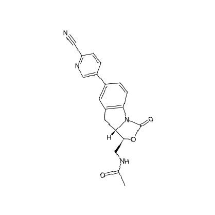 CC(=O)NC[C@@H]1OC(=O)N2c3ccc(-c4ccc(C#N)nc4)cc3C[C@@H]12